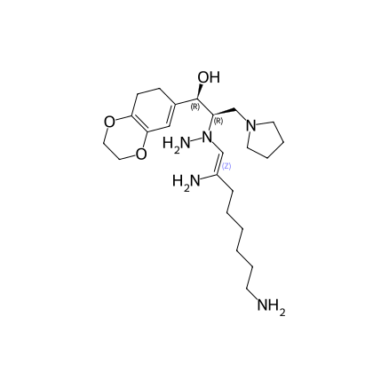 NCCCCCC/C(N)=C/N(N)[C@H](CN1CCCC1)[C@H](O)C1=CC2=C(CC1)OCCO2